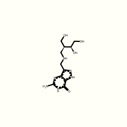 Nc1nc2c(CNC[C@@H](CO)[C@H](O)CO)n[nH]c2c(=O)[nH]1